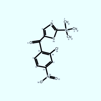 C[Si](C)(C)c1ncc(C(=O)c2ccc([N+](=O)[O-])cc2Cl)s1